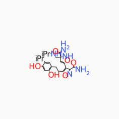 CC(C)NCC1(C(N)=O)C=C(c2c(C(N)=O)noc2CCc2cc(C(C)C)c(O)cc2O)ON1